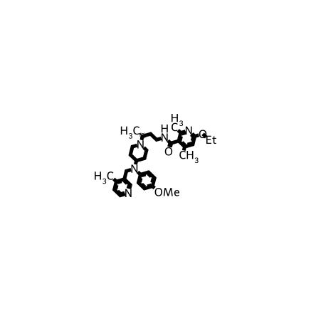 CCOc1cc(C)c(C(=O)NCC[C@@H](C)N2CCC(N(Cc3cnccc3C)c3ccc(OC)cc3)CC2)c(C)n1